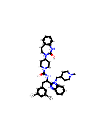 CN1CCC(Cn2c(C(Cc3cc(C(F)(F)F)cc(C(F)(F)F)c3)NC(=O)N3CCC(N4CCc5ccccc5NC4=O)CC3)nc3ccccc32)CC1